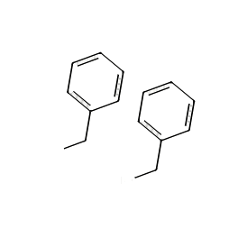 OCc1ccccc1.OCc1ccccc1